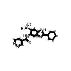 CCN(CC)c1cc2[nH]c(C3CCCCC3)nc2cc1NC(=O)c1ccnnc1